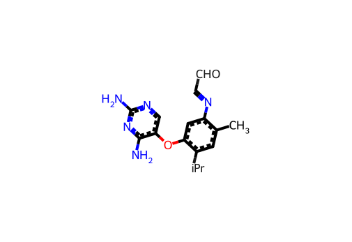 Cc1cc(C(C)C)c(Oc2cnc(N)nc2N)cc1N=CC=O